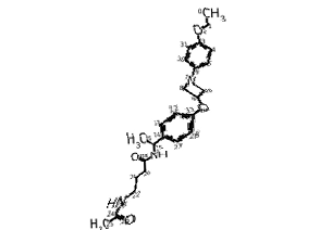 CCOc1ccc(N2CC(Oc3ccc([C@H](C)NC(=O)CCCNC(C)=O)cc3)C2)cc1